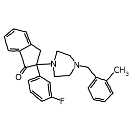 Cc1ccccc1CN1CCN(C2(c3cccc(F)c3)Cc3ccccc3C2=O)CC1